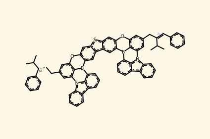 CC(C)/C(=C\c1ccccc1)Cc1cc2c3c(c1)-n1c4ccccc4c4cccc(c41)B3c1cc3c(cc1O2)sc1cc2c(cc13)B1c3c(cc(CC[C@H](c4ccccc4)C(C)C)cc3-n3c4ccccc4c4cccc1c43)O2